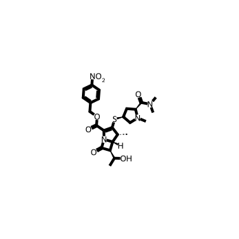 CC(O)[C@H]1C(=O)N2C(C(=O)OCc3ccc([N+](=O)[O-])cc3)=C(S[C@H]3C[C@@H](C(=O)N(C)C)N(C)C3)[C@H](C)[C@H]12